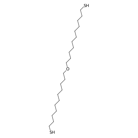 SCCCCCCCCCCCOCCCCCCCCCCCS